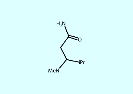 CNC(CC(N)=O)C(C)C